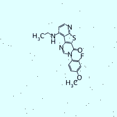 CCNc1ccnc2sc3c(=O)n(-c4ccc(OC)cc4F)cnc3c12